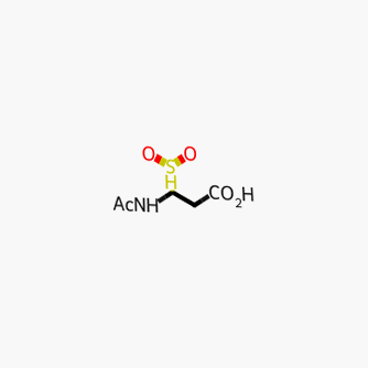 CC(=O)NC(CC(=O)O)[SH](=O)=O